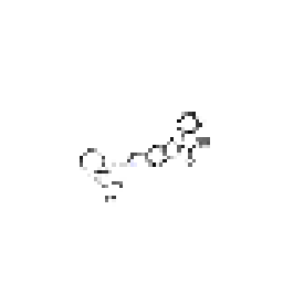 CC(C)C1=NC2(CCCCCC2)N(C/C=C/c2ccc3c(c2)CC2(C3)C(=O)Nc3ncccc32)C1=O